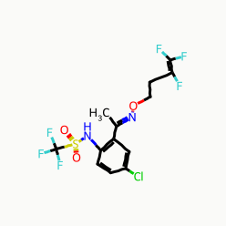 C/C(=N\OCCC(F)=C(F)F)c1cc(Cl)ccc1NS(=O)(=O)C(F)(F)F